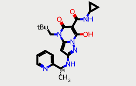 C[C@@H](Nc1cc2n(CC(C)(C)C)c(=O)c(C(=O)NC3CC3)c(O)n2n1)c1ccccn1